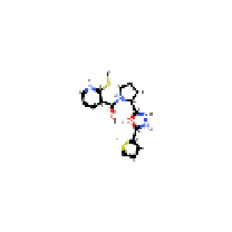 CSc1ncccc1C(=O)N1CCCC1c1nnc(-c2cccs2)o1